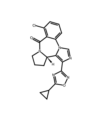 O=C1c2c(Cl)cccc2-n2cnc(-c3noc(C4CC4)n3)c2[C@@H]2CCCN12